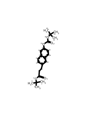 CC(C)(C)OC(=O)CCc1ccc2cc(OC(=O)OC(C)(C)C)ccc2c1